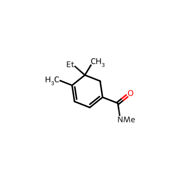 CCC1(C)CC(C(=O)NC)=CC=C1C